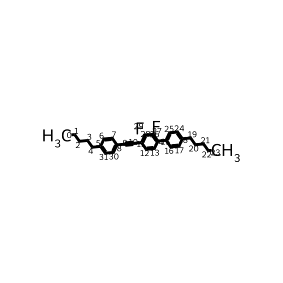 CCCCCc1ccc(C#Cc2ccc(-c3ccc(CCCCC)cc3)c(F)c2F)cc1